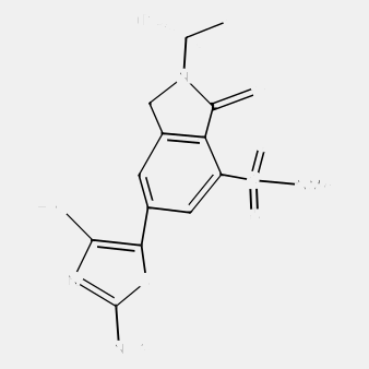 CNS(=O)(=O)c1cc(-c2sc(NC(C)=O)nc2C)cc2c1C(=O)N([C@@H](C)C(C)(C)C)C2